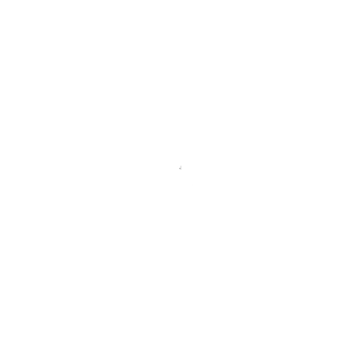 Cc1ccc2c(c1)[Si](c1ccccc1)(c1ccccc1)c1ccccc1-2